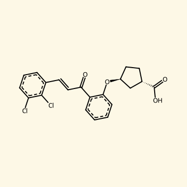 O=C(C=Cc1cccc(Cl)c1Cl)c1ccccc1O[C@H]1CC[C@H](C(=O)O)C1